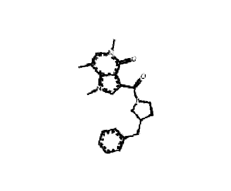 Cc1cn(C)c(=O)c2c(C(=O)N3CCC(Cc4ccccc4)C3)cn(C)c12